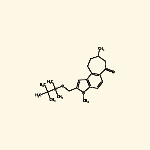 CC1CCc2c(ccc3c2cc(CO[Si](C)(C)C(C)(C)C)n3C)C(=O)C1